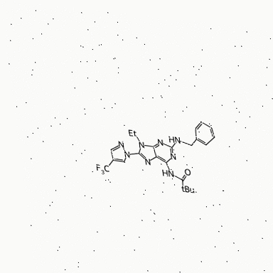 CCn1c(-n2cc(C(F)(F)F)cn2)nc2c(NC(=O)C(C)(C)C)nc(NCc3ccccc3)nc21